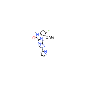 COc1cc(N(C)C(=O)c2cn3cc(-c4ccccn4)nc3cn2)ccc1F